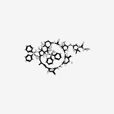 C=C1C[C@@H]2/C=C/C(C)C[C@H]3O[C@H]4[C@@H](O[Si](c5ccccc5)(c5ccccc5)C(C)(C)C)[C@H]5OC(CC[C@@H]5O[C@H]4[C@H]3O[Si](c3ccccc3)(c3ccccc3)C(C)(C)C)CC(=O)C[C@H]3C(C[C@H]4O[C@@H](CCC1O2)C[C@@H](C)C4=C)O[C@H](C[C@H]1CN(C(=O)OC(C)(C)C)C(C)(C)O1)[C@@H]3C